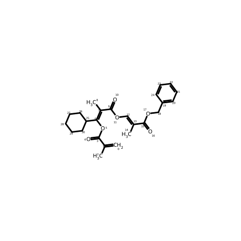 C=C(C)C(=O)OC(=C(C)C(=O)OC=C(C)C(=O)OCc1ccccc1)C1CCCCC1